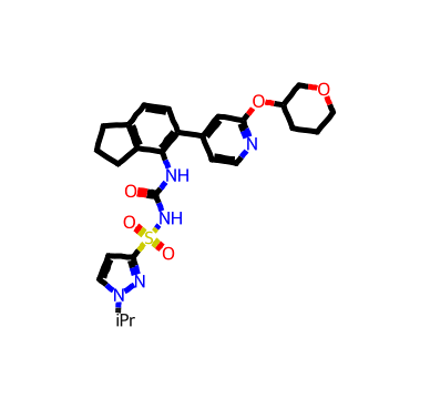 CC(C)n1ccc(S(=O)(=O)NC(=O)Nc2c(-c3ccnc(OC4CCCOC4)c3)ccc3c2CCC3)n1